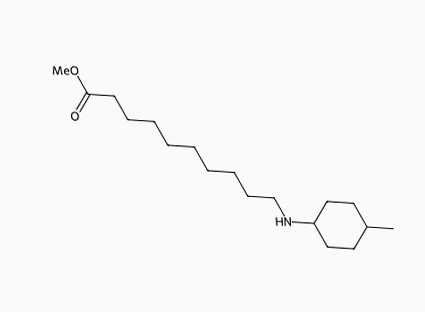 COC(=O)CCCCCCCCCNC1CCC(C)CC1